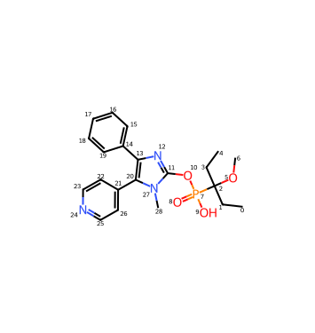 CCC(CC)(OC)P(=O)(O)Oc1nc(-c2ccccc2)c(-c2ccncc2)n1C